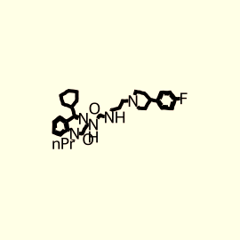 CCCN1C(=O)C(NC(=O)NCCCN2CCC(c3ccc(F)cc3)CC2)N=C(C2CCCCC2)c2ccccc21